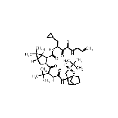 C=CCNC(=O)C(=O)C(CC1CC1)NC(=O)[C@@H]1[C@@H]2[C@H](CN1C(=O)[C@@H](NC(=O)NC1(CS(=O)(=O)C(C)(C)C)CC3CCC1C3)C(C)(C)C)C2(C)C